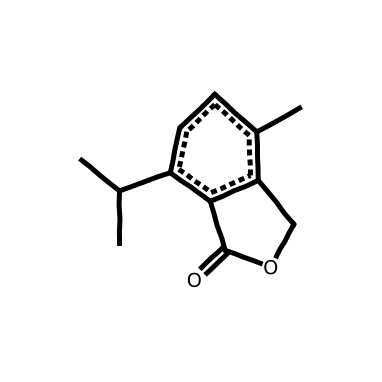 Cc1ccc(C(C)C)c2c1COC2=O